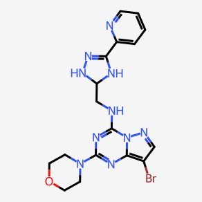 Brc1cnn2c(NCC3NN=C(c4ccccn4)N3)nc(N3CCOCC3)nc12